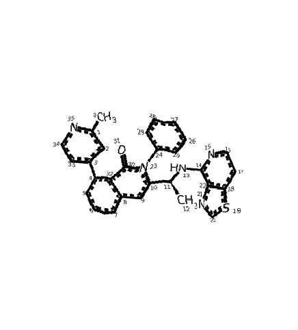 Cc1cc(-c2cccc3cc([C@H](C)Nc4nccc5scnc45)n(-c4ccccc4)c(=O)c23)ccn1